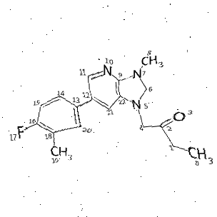 CCC(=O)CN1CN(C)c2ncc(-c3ccc(F)c(C)c3)cc21